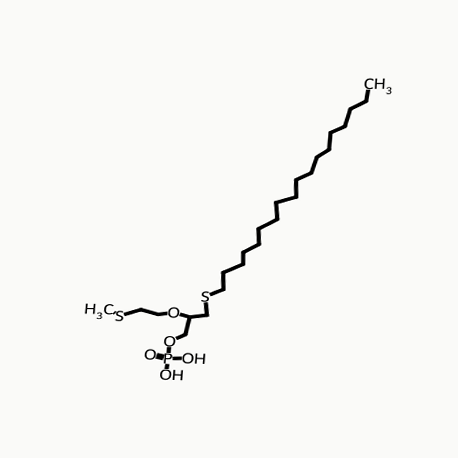 CCCCCCCCCCCCCCCCCCSCC(COP(=O)(O)O)OCCSC